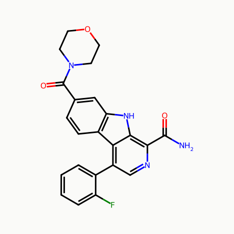 NC(=O)c1ncc(-c2ccccc2F)c2c1[nH]c1cc(C(=O)N3CCOCC3)ccc12